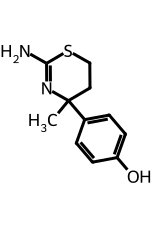 CC1(c2ccc(O)cc2)CCSC(N)=N1